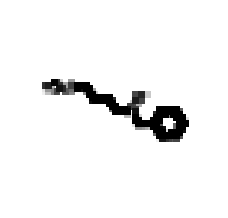 CCCCCCCCCCCC[O+]([O-])Cc1ccccc1